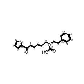 O=C(CCCCCN(CCc1ccccc1)C(=O)O)c1cccs1